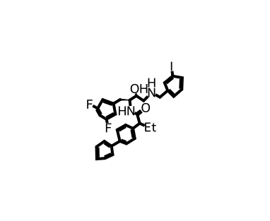 CCC(C(=O)N[C@@H](Cc1cc(F)cc(F)c1)[C@@H](O)CNCc1cccc(I)c1)c1ccc(-c2ccccc2)cc1